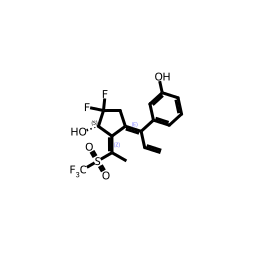 C=C/C(=C1/CC(F)(F)[C@@H](O)/C1=C(/C)S(=O)(=O)C(F)(F)F)c1cccc(O)c1